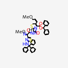 COC/C=C\C1=C(C(=O)OC(c2ccccc2)c2ccccc2)N2C(=O)C(NC(=O)/C(=N\OC)c3csc(NC(c4ccccc4)(c4ccccc4)c4ccccc4)n3)[C@H]2SC1